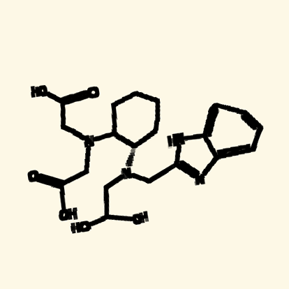 O=C(O)CN(CC(=O)O)C1CCCC[C@@H]1N(Cc1nc2ccccc2[nH]1)CC(O)O